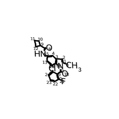 Cc1cc2cc(NC(=O)C3CCC3)ccc2n1C(=O)c1c(F)cccc1Cl